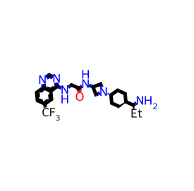 CC[C@H](N)[C@H]1CC[C@H](N2CC(NC(=O)CNc3ncnc4ccc(C(F)(F)F)cc34)C2)CC1